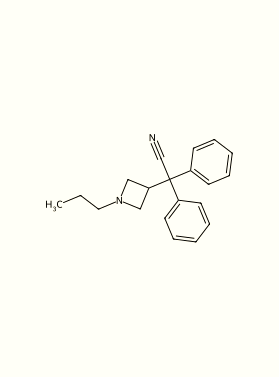 CCCN1CC(C(C#N)(c2ccccc2)c2ccccc2)C1